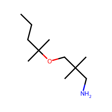 CCCC(C)(C)OCC(C)(C)CN